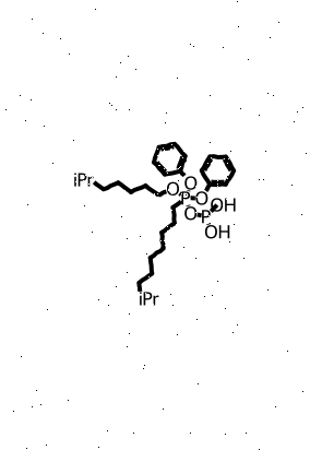 CC(C)CCCCCCCP(OCCCCCC(C)C)(Oc1ccccc1)(Oc1ccccc1)OP(O)O